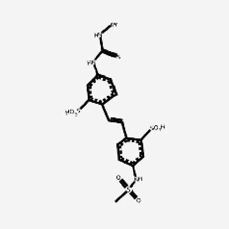 CC(C)NC(=S)Nc1ccc(/C=C/c2ccc(NS(C)(=O)=O)cc2S(=O)(=O)O)c(S(=O)(=O)O)c1